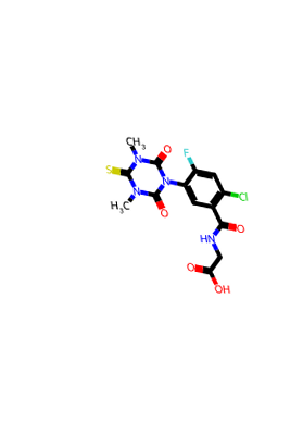 Cn1c(=S)n(C)c(=O)n(-c2cc(C(=O)NCC(=O)O)c(Cl)cc2F)c1=O